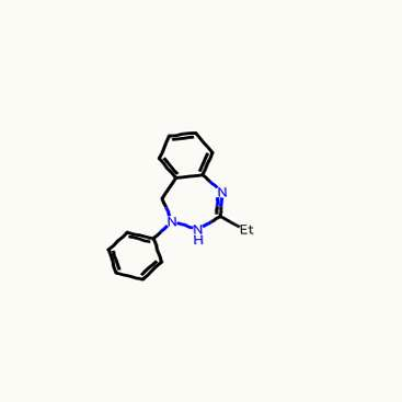 CCC1=Nc2ccccc2CN(c2ccccc2)N1